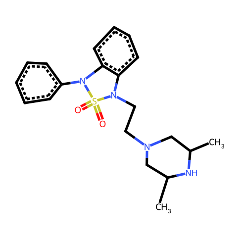 CC1CN(CCN2c3ccccc3N(c3ccccc3)S2(=O)=O)CC(C)N1